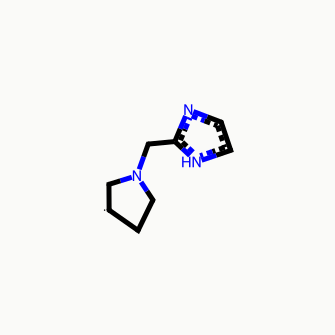 [CH]1CCN(Cc2ncc[nH]2)C1